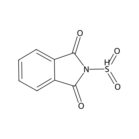 O=C1c2ccccc2C(=O)N1[SH](=O)=O